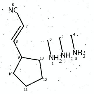 CN.CN.CN.N#CC=CC1CCCC1